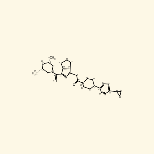 C[C@@H]1CN(C(=O)c2nn(CC(=O)N3CCC(c4ccc(C5CC5)cc4)CC3)c3c2CCC3)C[C@H](C)O1